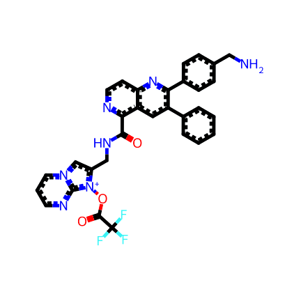 NCc1ccc(-c2nc3ccnc(C(=O)NCc4cn5cccnc5[n+]4OC(=O)C(F)(F)F)c3cc2-c2ccccc2)cc1